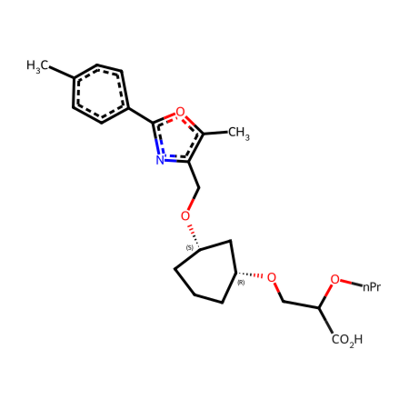 CCCOC(CO[C@@H]1CCC[C@H](OCc2nc(-c3ccc(C)cc3)oc2C)C1)C(=O)O